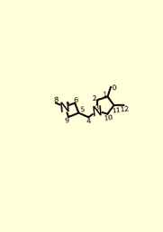 CC1CN(CC2CN(C)C2)CC1C